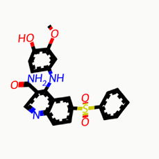 COc1cc(Nc2c(C(N)=O)cnc3ccc(S(=O)(=O)c4ccccc4)cc23)ccc1O